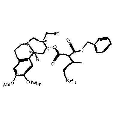 COc1cc2c(cc1OC)[C@H]1C[C@@H](OC(=O)C(C(=O)OCc3ccccc3)C(C)CN)[C@H](CC(C)C)CN1CC2